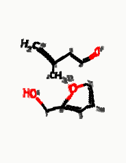 C=C(C)CC=O.OCc1ccco1